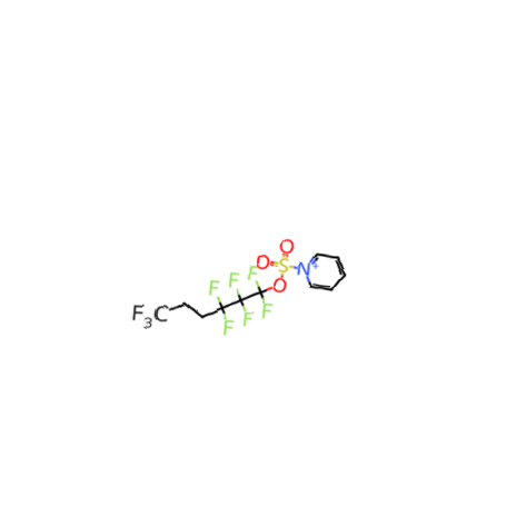 O=S(=O)(OC(F)(F)C(F)(F)C(F)(F)CCC(F)(F)F)[n+]1ccccc1